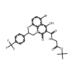 CC(C)(C)OC(=O)CNC(=O)c1c(O)c2c(Br)ccc3c2n(c1=O)CC(c1ccc(C(F)(F)F)cc1)O3